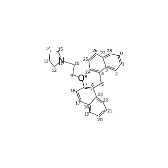 c1ccc2c(Cc3c(OCCN4CCCC4)ccc4ccccc34)cccc2c1